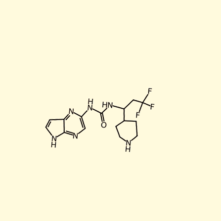 O=C(Nc1cnc2[nH]ccc2n1)NC(CC(F)(F)F)C1CCNCC1